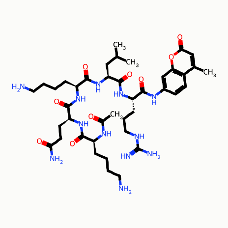 CC(=O)N[C@@H](CCCCN)C(=O)N[C@@H](CCC(N)=O)C(=O)N[C@@H](CCCCN)C(=O)N[C@@H](CC(C)C)C(=O)N[C@@H](CCCNC(=N)N)C(=O)Nc1ccc2c(C)cc(=O)oc2c1